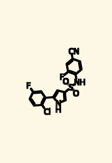 N#Cc1ccc(NS(=O)(=O)c2c[nH]c(-c3cc(F)ccc3Cl)c2)c(F)c1